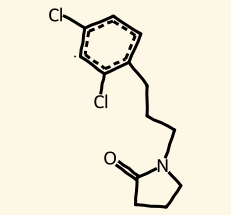 O=C1CCCN1CCCc1ccc(Cl)[c]c1Cl